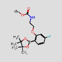 CC(C)(C)OC(=O)NCCOc1cc(F)ccc1B1OC(C)(C)C(C)(C)O1